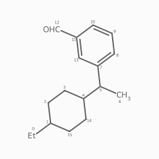 CCC1CCC(C(C)c2cccc(C=O)c2)CC1